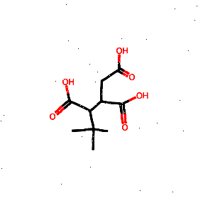 CC(C)(C)C(C(=O)O)C(CC(=O)O)C(=O)O